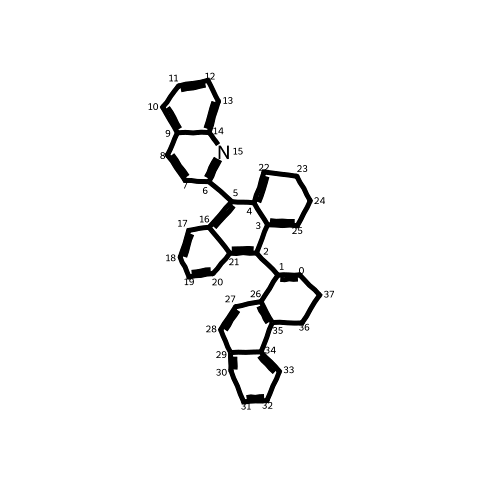 C1=C(c2c3c(c(-c4ccc5ccccc5n4)c4ccccc24)=CCCC=3)c2ccc3ccccc3c2CC1